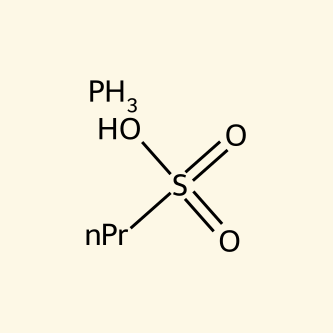 CCCS(=O)(=O)O.P